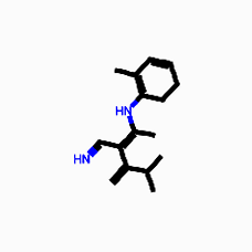 C=C(/C(C=N)=C(\C)NC1=C(C)C=CCC1)C(C)C